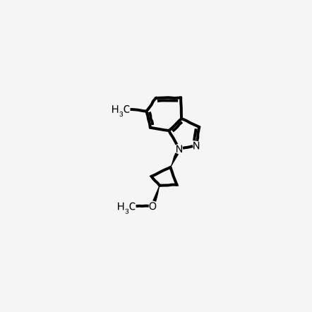 CO[C@H]1C[C@@H](n2ncc3ccc(C)cc32)C1